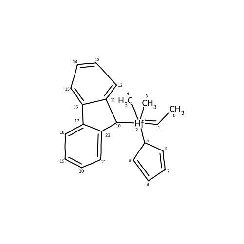 C[CH]=[Hf]([CH3])([CH3])([CH]1C=CC=C1)[CH]1c2ccccc2-c2ccccc21